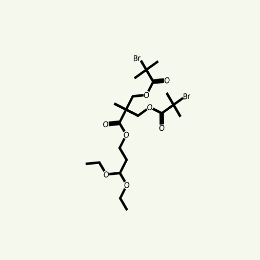 CCOC(CCOC(=O)C(C)(COC(=O)C(C)(C)Br)COC(=O)C(C)(C)Br)OCC